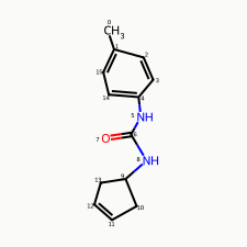 Cc1ccc(NC(=O)NC2CC=CC2)cc1